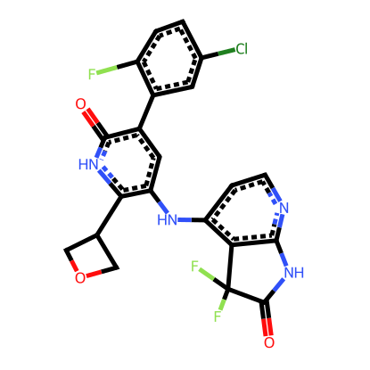 O=C1Nc2nccc(Nc3cc(-c4cc(Cl)ccc4F)c(=O)[nH]c3C3COC3)c2C1(F)F